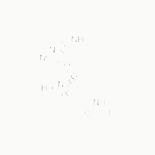 CC(=O)Nc1ccc(S(=O)(=O)N(C)CC(=O)OC2CCCCC2(C(N)=S)c2ccc3nccn3c2)cc1